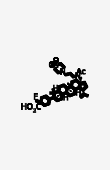 C=C(C)[C@@H]1CC[C@]2(CN(CCCN3CCS(=O)(=O)CC3)C(C)=O)CC[C@]3(C)[C@H](CC[C@@H]4[C@@]5(C)CC=C(C6=CC[C@@](CF)(C(=O)O)CC6)C(C)(C)[C@@H]5CC[C@]43C)[C@@H]12